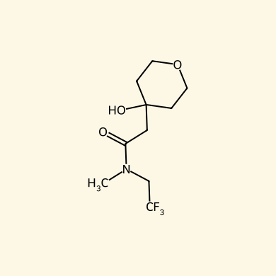 CN(CC(F)(F)F)C(=O)CC1(O)CCOCC1